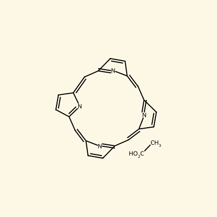 C1=CC2=NC1=CC1=NC(=CC3=NC(=CC4=NC(=C2)C=C4)C=C3)C=C1.CC(=O)O